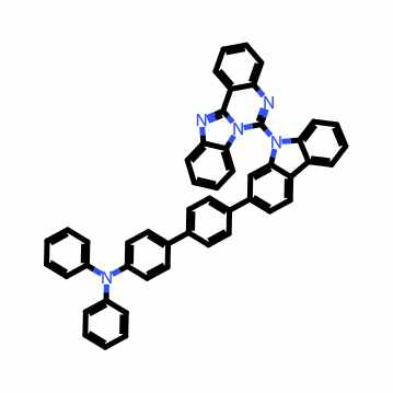 c1ccc(N(c2ccccc2)c2ccc(-c3ccc(-c4ccc5c6ccccc6n(-c6nc7ccccc7c7nc8ccccc8n67)c5c4)cc3)cc2)cc1